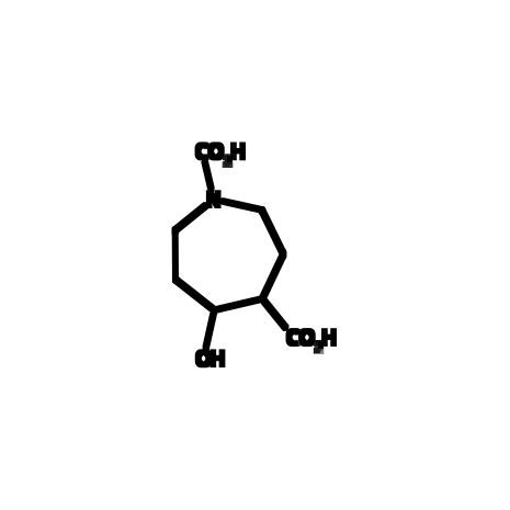 O=C(O)C1CCN(C(=O)O)CCC1O